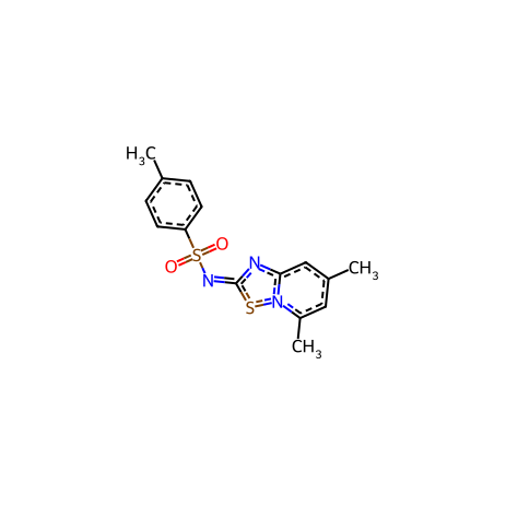 Cc1ccc(S(=O)(=O)N=c2nc3cc(C)cc(C)n3s2)cc1